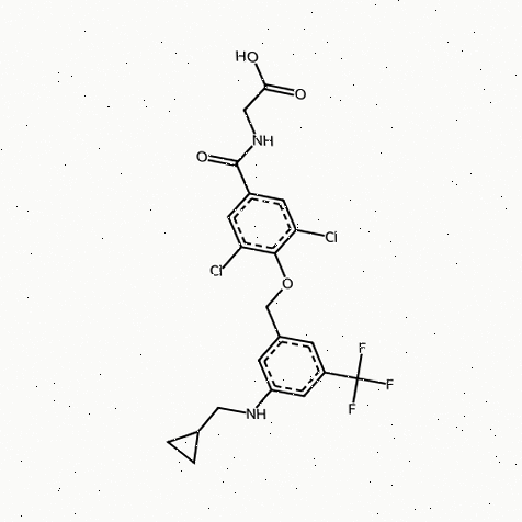 O=C(O)CNC(=O)c1cc(Cl)c(OCc2cc(NCC3CC3)cc(C(F)(F)F)c2)c(Cl)c1